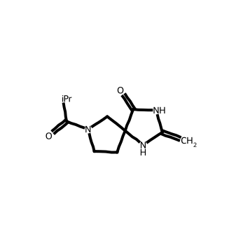 C=C1NC(=O)C2(CCN(C(=O)C(C)C)C2)N1